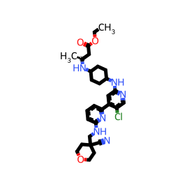 CCOC(=O)C[C@H](C)NC1CCC(Nc2cc(-c3cccc(NCC4(C#N)CCOCC4)n3)c(Cl)cn2)CC1